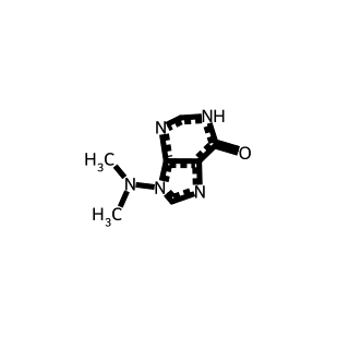 CN(C)n1cnc2c(=O)[nH]cnc21